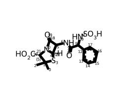 CC1(C)S[C@@H]2C(NC(=O)C(NS(=O)(=O)O)c3ccccc3)C(=O)N2[C@H]1C(=O)O